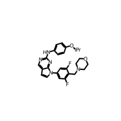 CC(C)Oc1ccc(Nc2ncc3ccn(-c4cc(F)c(CN5CCOCC5)c(F)c4)c3n2)cc1